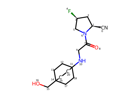 N#C[C@@H]1C[C@H](F)CN1C(=O)CNC12CCC(CO)(CC1)CC2